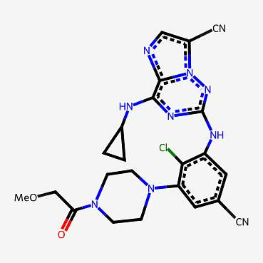 COCC(=O)N1CCN(c2cc(C#N)cc(Nc3nc(NC4CC4)c4ncc(C#N)n4n3)c2Cl)CC1